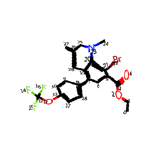 CCOC(=O)c1cc(-c2ccc(OC(F)(F)F)cc2)c2c(c1Br)N(C)CC(C)=C2